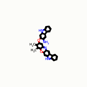 C=c1c(OC2=CC3Nc4ccccc4C3C=C2N)cc2c(c1C)OC1C=c3[nH]c4ccccc4c3=CC1N=2